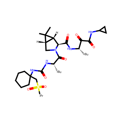 CCCC[C@H](NC(=O)[C@@H]1[C@@H]2[C@H](CN1C(=O)[C@@H](NC(=O)NC1(CS(=O)(=O)C(C)C)CCCCC1)C(C)(C)C)C2(C)C)C(=O)C(=O)NC1CC1